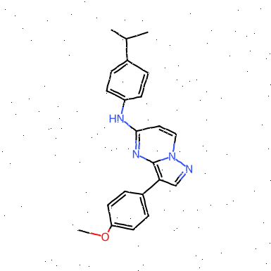 COc1ccc(-c2cnn3ccc(Nc4ccc(C(C)C)cc4)nc23)cc1